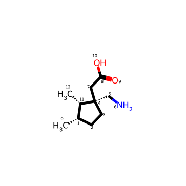 C[C@H]1CC[C@](CN)(CC(=O)O)[C@H]1C